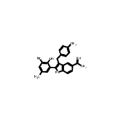 Cc1cc(Br)c(O)c(-c2[nH]c3ccc(C(=N)N)cc3c2Cc2ccc(N)cc2)c1